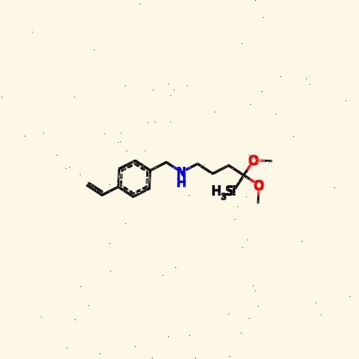 C=Cc1ccc(CNCCCC([SiH3])(OC)OC)cc1